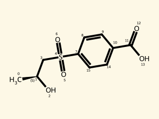 C[C@H](O)CS(=O)(=O)c1ccc(C(=O)O)cc1